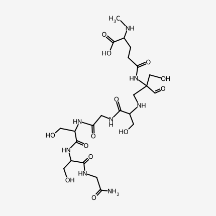 CNC(CCC(=O)NC(C=O)(CO)CNC(CO)C(=O)NCC(=O)NC(CO)C(=O)NC(CO)C(=O)NCC(N)=O)C(=O)O